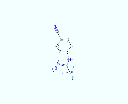 N#Cc1ccc(NC(=NN)C(F)(F)F)cc1